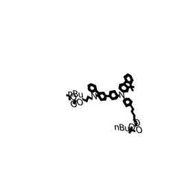 CCCCC(C)(C)OC(=O)OCCCCc1ccc(N(c2ccc(-c3ccc4c(c3)c3ccccc3n4CCCCOC(=O)OC(C)(C)CCCC)cc2)c2ccc3c(c2)C(C)(C)c2ccccc2-3)cc1